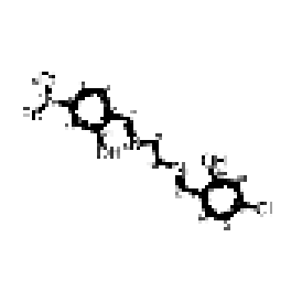 CCN(CC)c1ccc(C=NCCN=Cc2ccc(O)cc2O)c(O)c1